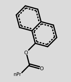 CCCC(=O)Oc1cccc2ccccc12